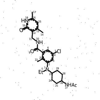 CCN(c1cc(Cl)cc(C(=O)NCc2c(C)cc(C)[nH]c2=O)c1C)C1CCC(NC(C)=O)CC1